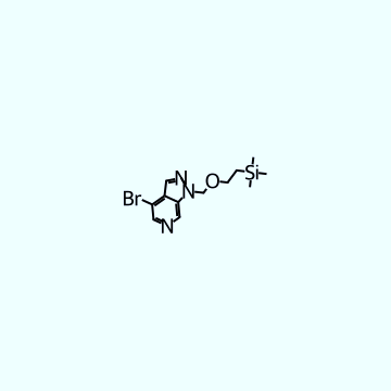 C[Si](C)(C)CCOCn1ncc2c(Br)cncc21